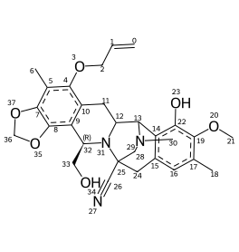 C=CCOc1c(C)c2c(c3c1CC1C4c5c(cc(C)c(OC)c5O)CC(C#N)(CN4C)N1[C@H]3CO)OCO2